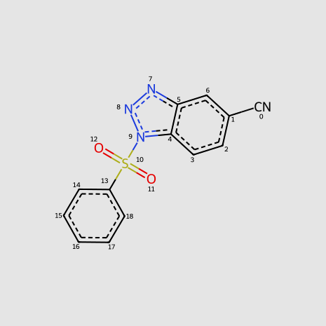 N#Cc1ccc2c(c1)nnn2S(=O)(=O)c1ccccc1